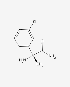 C[C@](N)(C(N)=O)c1cccc(Cl)c1